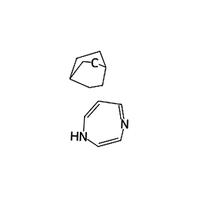 C1=CNC=CN=C1.C1CC2CCC1CC2